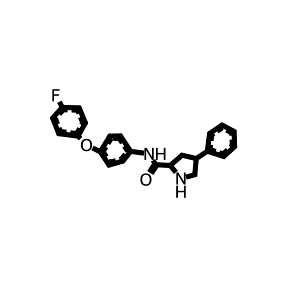 O=C(Nc1ccc(Oc2ccc(F)cc2)cc1)C1CC(c2ccccc2)CN1